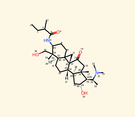 CCC(C)C(=O)N[C@H]1CCC23C[C@]24C(=O)C[C@]2(C)[C@@H]([C@H](C)N(C)C)[C@H](O)C[C@@]2(C)[C@@H]4CC[C@H]3[C@]1(C)CO